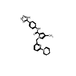 Cc1cc(C(=O)Nc2ccc(-c3nnn[nH]3)cc2)n(Cc2cccc(N3CCCCC3)n2)c1